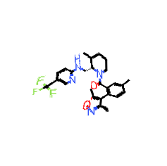 Cc1ccc(-c2c(C)noc2C)c(C(=O)N2CCCC(C)[C@H]2CNc2ccc(C(F)(F)F)cn2)c1